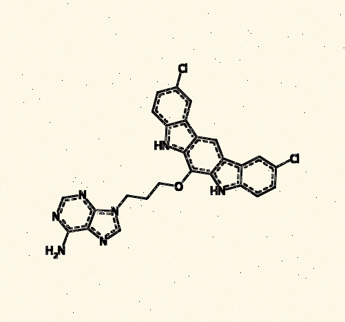 Nc1ncnc2c1ncn2CCCOc1c2[nH]c3ccc(Cl)cc3c2cc2c1[nH]c1ccc(Cl)cc12